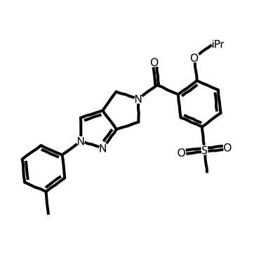 Cc1cccc(-n2cc3c(n2)CN(C(=O)c2cc(S(C)(=O)=O)ccc2OC(C)C)C3)c1